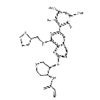 C=CC(=O)N[C@H]1CCOC[C@H]1Nc1ncc2cc(-c3c(F)c(OC)cc(OC)c3F)nc(NCC3CCCO3)c2n1